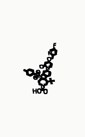 Cc1ccc(S(=O)(=O)n2c3c(c4ccc(-n5ccc(OCc6ccc(F)cn6)cc5=O)cc42)C(C(C)(C)C)CN(C(=O)O)CC3)cc1